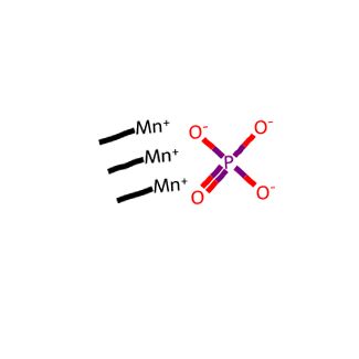 O=P([O-])([O-])[O-].[CH3][Mn+].[CH3][Mn+].[CH3][Mn+]